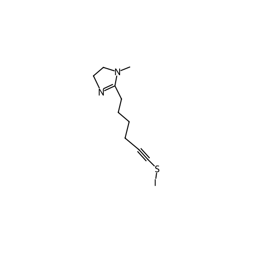 CN1CCN=C1CCCCC#CSI